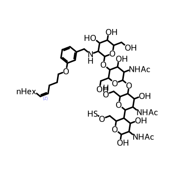 CCCCCC/C=C\CCCOc1cccc(CNC2C(OC3C(CO)OC(OC4C(CO)OC(C5C(COS)OC(O)C(NC(C)=O)C5O)C(NC(C)=O)C4O)C(NC(C)=O)C3O)OC(CO)C(O)C2O)c1